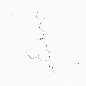 CNCCN(CCNC(=O)CCCCC(C)=O)CC(O)CCl